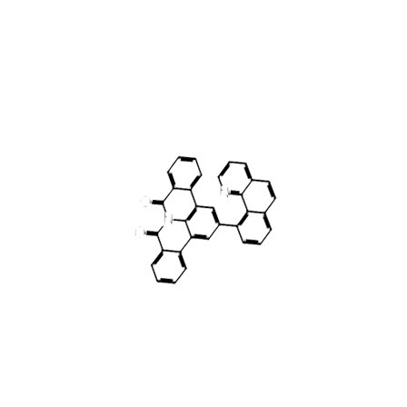 O=c1c2ccccc2c2cc(-c3cccc4ccc5cccnc5c34)cc3c4ccccc4c(=O)n1c23